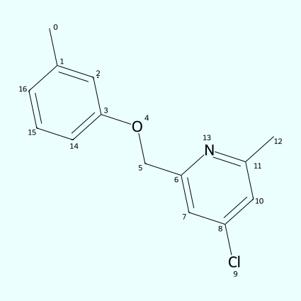 Cc1[c]c(OCc2cc(Cl)cc(C)n2)ccc1